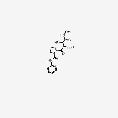 CCCCC(C(=O)N1CCCC1C(=O)Nc1ccccn1)C(O)C(=O)NO